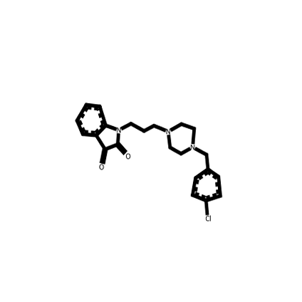 O=C1C(=O)N(CCCN2CCN(Cc3ccc(Cl)cc3)CC2)c2ccccc21